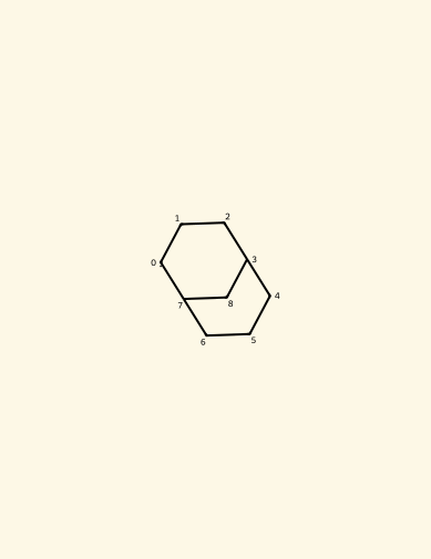 [CH]1CCC2CCCC1C2